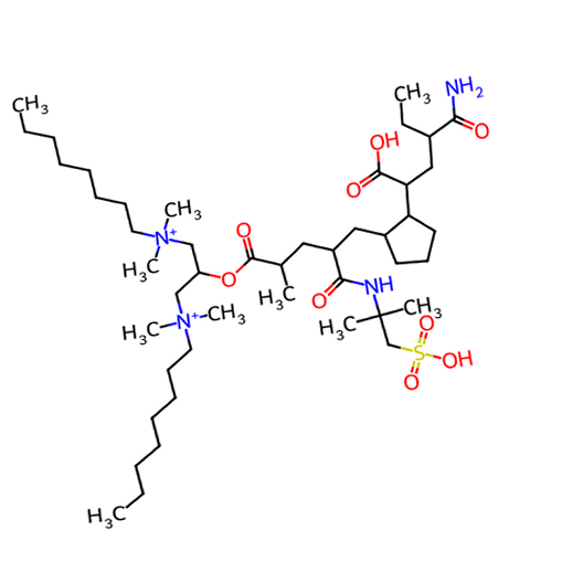 CCCCCCCC[N+](C)(C)CC(C[N+](C)(C)CCCCCCCC)OC(=O)C(C)CC(CC1CCCC1C(CC(CC)C(N)=O)C(=O)O)C(=O)NC(C)(C)CS(=O)(=O)O